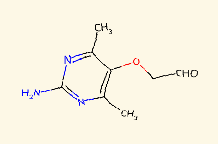 Cc1nc(N)nc(C)c1OCC=O